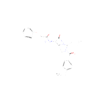 COc1ccc(C(=O)N2CC3[C@@H](NC(=O)COc4ccccc4)C(=O)N3C2C(=O)O)cc1